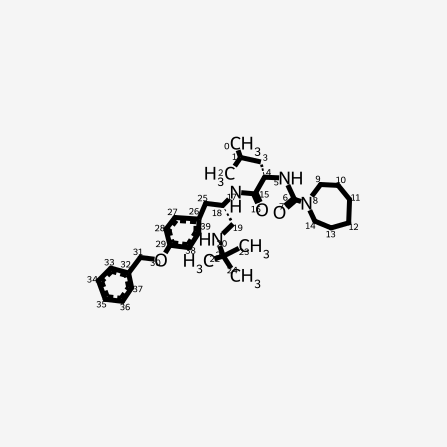 CC(C)C[C@H](NC(=O)N1CCCCCC1)C(=O)N[C@H](CNC(C)(C)C)Cc1ccc(OCc2ccccc2)cc1